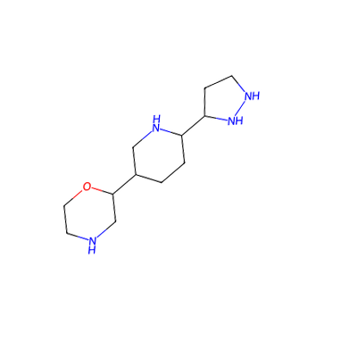 C1COC(C2CCC(C3CCNN3)NC2)CN1